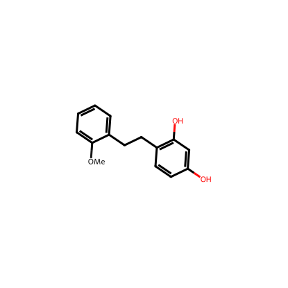 COc1ccccc1CCc1ccc(O)cc1O